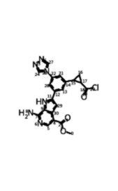 COC(=O)c1cnc(N)c2[nH]c(-c3cc(C4CC4C(=O)Cl)cc(-n4cnnc4)c3)cc12